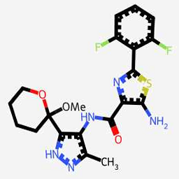 COC1(c2[nH]nc(C)c2NC(=O)c2nc(-c3c(F)cccc3F)sc2N)CCCCO1